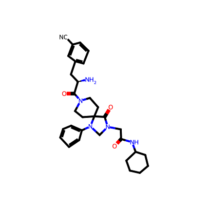 N#Cc1cccc(C[C@@H](N)C(=O)N2CCC3(CC2)C(=O)N(CC(=O)NC2CCCCC2)CN3c2ccccc2)c1